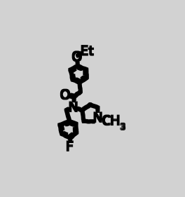 CCOc1ccc(CC(=O)N(Cc2ccc(F)cc2)C2CCN(C)CC2)cc1